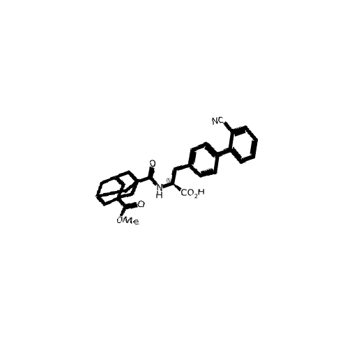 COC(=O)C12CC3CC(CC(C(=O)N[C@@H](Cc4ccc(-c5ccccc5C#N)cc4)C(=O)O)(C3)C1)C2